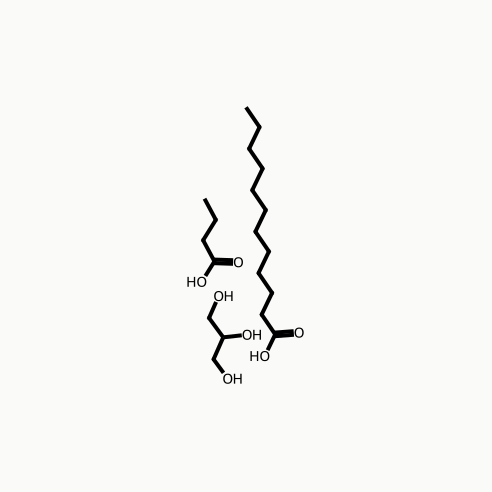 CCCC(=O)O.CCCCCCCCCCCC(=O)O.OCC(O)CO